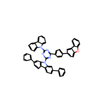 c1ccc(-c2ccc3c4ccc(-c5ccccc5)cc4n(-c4nc(-c5ccc(-c6ccc7oc8ccccc8c7c6)cc5)nc(-n5c6ccccc6c6ccccc65)n4)c3c2)cc1